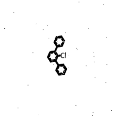 Clc1c(-c2ccccc2)cccc1-c1ccccc1